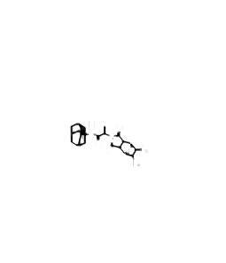 CC(C(=O)NC12CC3CC(CC(C3)C1)C2)N1C(=O)C2C3OC(C(Br)C3Br)C2C1=O